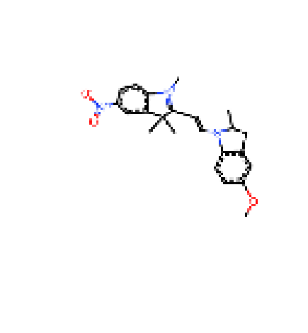 COc1ccc2c(c1)CC(C)N2/C=C/C1=[N+](C)c2ccc([N+](=O)[O-])cc2C1(C)C